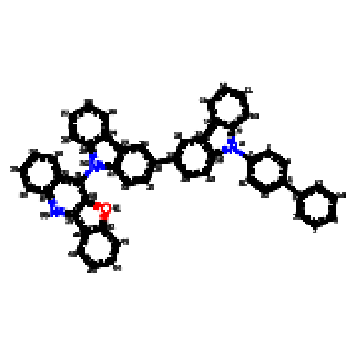 c1ccc(-c2ccc(-n3c4ccccc4c4cc(-c5ccc6c(c5)c5ccccc5n6-c5c6ccccc6nc6c5oc5ccccc56)ccc43)cc2)cc1